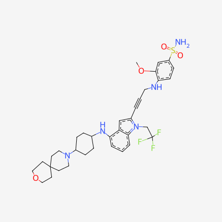 COc1cc(S(N)(=O)=O)ccc1NCC#Cc1cc2c(NC3CCC(N4CCC5(CCOCC5)CC4)CC3)cccc2n1CC(F)(F)F